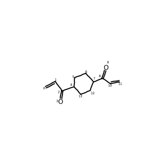 C=CC(=O)C1CCC(C(=O)C=C)CC1